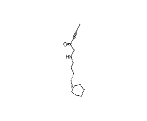 CC#CC(=O)CNCCCCN1CCCCC1